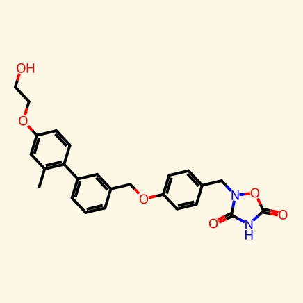 Cc1cc(OCCO)ccc1-c1cccc(COc2ccc(Cn3oc(=O)[nH]c3=O)cc2)c1